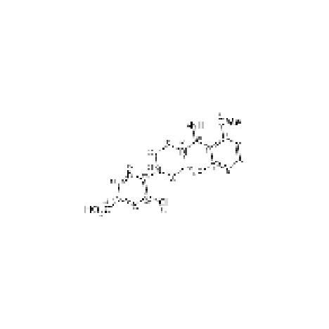 COc1cccc(F)c1C(=N)N1CCN(c2ncc(C(=O)O)cc2Cl)CC1